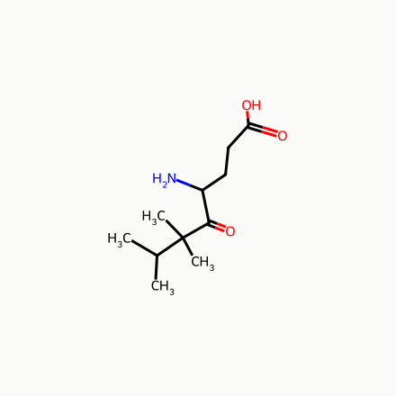 CC(C)C(C)(C)C(=O)C(N)CCC(=O)O